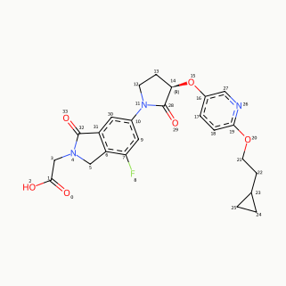 O=C(O)CN1Cc2c(F)cc(N3CC[C@@H](Oc4ccc(OCCC5CC5)nc4)C3=O)cc2C1=O